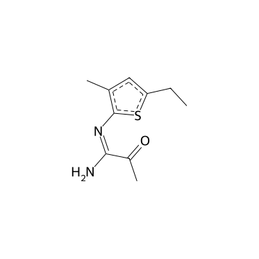 CCc1cc(C)c(/N=C(/N)C(C)=O)s1